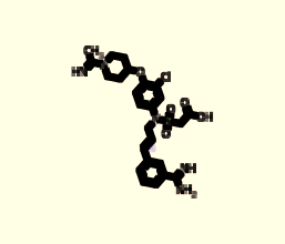 CC(=N)N1CCC(Oc2ccc(N(C/C=C/c3cccc(C(=N)N)c3)S(=O)(=O)CC(=O)O)cc2Cl)CC1